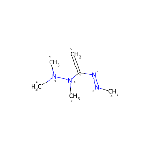 C=C(N=NC)N(C)N(C)C